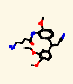 CCOc1cc(C(=CC#N)c2ccc(OC)c(NC(=O)CCCN)c2)ccc1OC